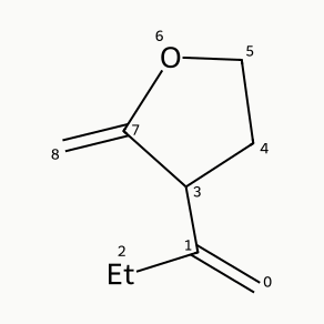 C=C(CC)C1CCOC1=C